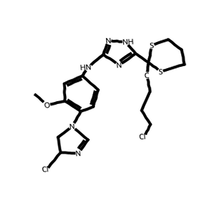 COc1cc(Nc2n[nH]c(C3(CCCCCl)SCCCS3)n2)ccc1N1C=NC(Cl)C1